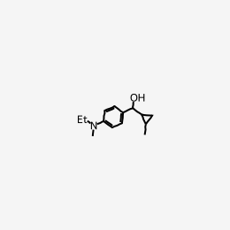 CCN(C)c1ccc(C(O)C2CC2C)cc1